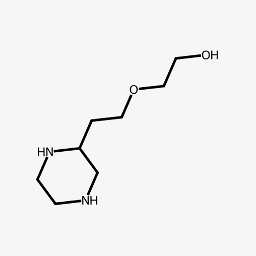 OCCOCCC1CNCCN1